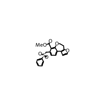 COC(=O)c1c(CS(=O)(=O)c2ccccc2)ccc2c1OCCc1occc1-2